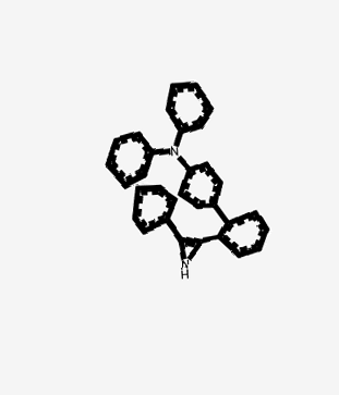 c1ccc(C2=C(c3ccccc3-c3ccc(N(c4ccccc4)c4ccccc4)cc3)N2)cc1